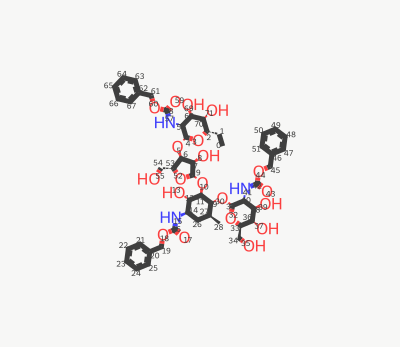 CC[C@@H]1O[C@H](O[C@H]2[C@@H](O)[C@H](O[C@@H]3[C@@H](O)[C@H](NC(=O)OCc4ccccc4)C[C@H](C)[C@H]3O[C@H]3O[C@H](CO)[C@@H](O)[C@H](O)[C@H]3NC(=O)OCc3ccccc3)O[C@@H]2CO)[C@H](NC(=O)OCc2ccccc2)[C@@H](O)[C@@H]1O